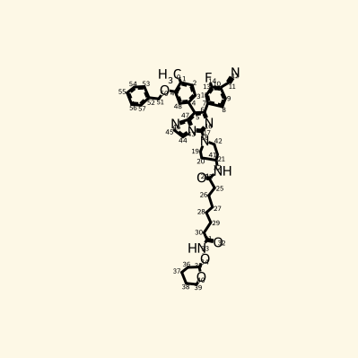 Cc1ccc(-c2c(-c3ccc(C#N)c(F)c3)nc(N3CCC(NC(=O)CCCCCCC(=O)NOC4CCCCO4)CC3)n3ccnc23)cc1OCc1ccccc1